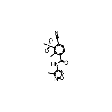 Cc1nonc1NC(=O)c1ccc(C#N)c(S(C)(=O)=O)c1C